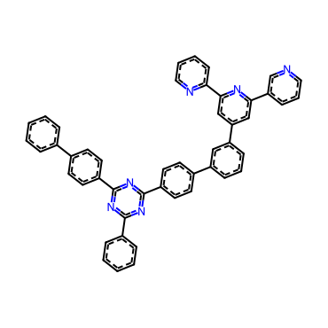 c1ccc(-c2ccc(-c3nc(-c4ccccc4)nc(-c4ccc(-c5cccc(-c6cc(-c7cccnc7)nc(-c7ccccn7)c6)c5)cc4)n3)cc2)cc1